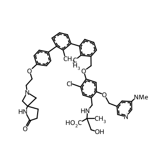 CNc1cncc(COc2cc(OCc3cccc(-c4cccc(-c5ccc(OCCN6CC7(CCC(=O)N7)C6)cc5)c4C)c3C)c(Cl)cc2CNC(C)(CO)C(=O)O)c1